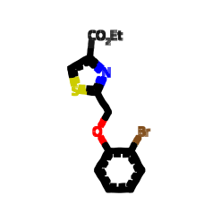 CCOC(=O)c1csc(COc2ccccc2Br)n1